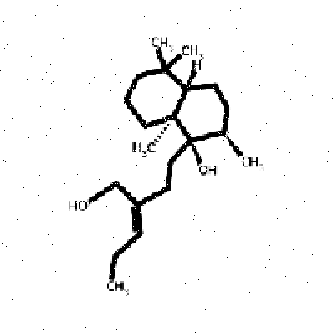 CC/C=C(\CO)CC[C@@]1(O)[C@H](C)CC[C@H]2C(C)(C)CCC[C@@]21C